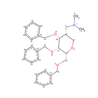 CN(C)C[C@@H]1CO[C@H](COCc2ccccc2)[C@H](OCc2ccccc2)[C@@H]1OCc1ccccc1